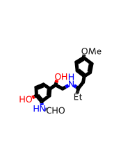 CCC(Cc1ccc(OC)cc1)NCC(O)c1ccc(O)c(NC=O)c1